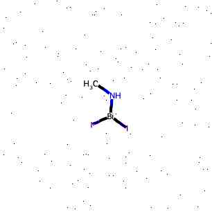 C[NH][Bi]([I])[I]